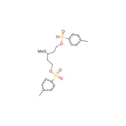 COC(CCOS(=O)(=O)c1ccc(C)cc1)CCOS(=O)(=O)c1ccc(C)cc1